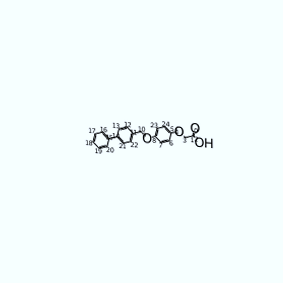 O=C(O)COc1ccc(OCc2ccc(-c3ccccc3)cc2)cc1